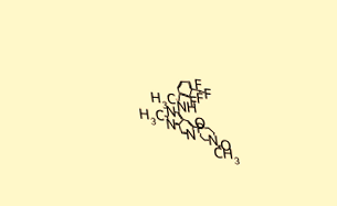 CC(=O)N1CCP(=O)(c2cc3c(N[C@H](C)c4cccc(C(F)(F)F)c4F)nc(C)nc3cn2)CC1